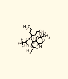 CCCC(CCC)O[C@@H]1[C@@H](NC(=O)C(F)(F)F)[C@@H](C)O[C@@H]2COC(C)(C)O[C@@H]12